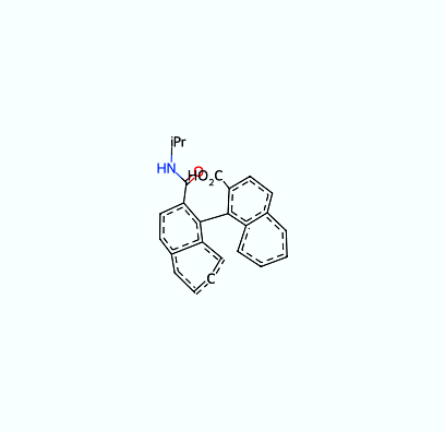 CC(C)NC(=O)c1ccc2ccccc2c1-c1c(C(=O)O)ccc2ccccc12